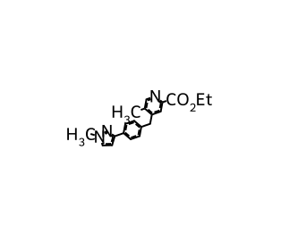 CCOC(=O)c1cc(Cc2ccc(-c3ccn(C)n3)cc2)c(C)cn1